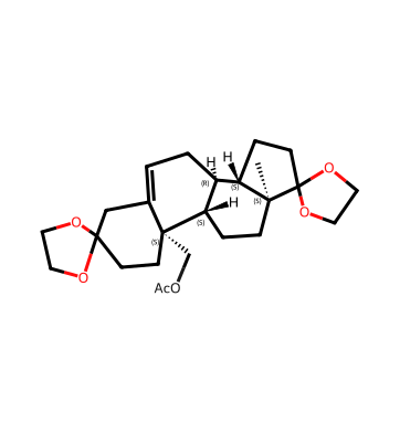 CC(=O)OC[C@]12CCC3(CC1=CC[C@@H]1[C@@H]2CC[C@@]2(C)[C@H]1CCC21OCCO1)OCCO3